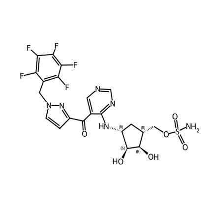 NS(=O)(=O)OC[C@H]1C[C@@H](Nc2ncncc2C(=O)c2ccn(Cc3c(F)c(F)c(F)c(F)c3F)n2)[C@H](O)[C@@H]1O